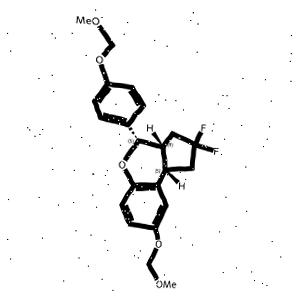 COCOc1ccc([C@H]2Oc3ccc(OCOC)cc3[C@H]3CC(F)(F)C[C@H]32)cc1